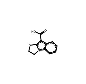 O=C(O)c1c2n(c3ccccc13)CCS2